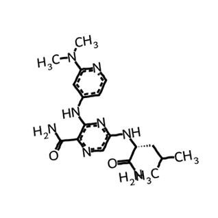 CC(C)C[C@@H](Nc1cnc(C(N)=O)c(Nc2ccnc(N(C)C)c2)n1)C(N)=O